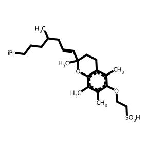 Cc1c(C)c2c(c(C)c1OCCS(=O)(=O)O)CCC(C)(/C=C/CC(C)CCCC(C)C)O2